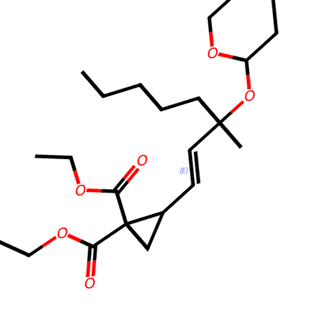 CCCCCC(C)(/C=C/C1CC1(C(=O)OCC)C(=O)OCC)OC1CCCCO1